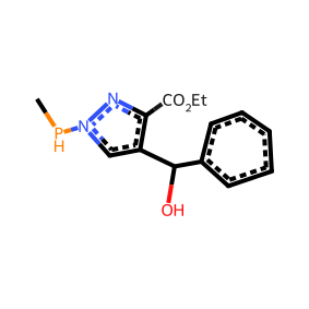 CCOC(=O)c1nn(PC)cc1C(O)c1ccccc1